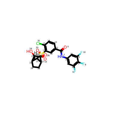 O=C(Nc1cc(F)c(F)c(F)c1)c1ccc(Cl)c(S(=O)(=O)[C@@H]2C3=C(O)C(=O)C2CC3)c1